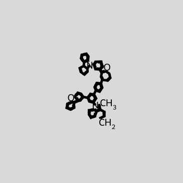 C=C/C=C\c1c(C)n(-c2cc(-c3ccc(C4=Cc5c(oc6ccc(N7c8ccccc8C8C=CC=CC87)cc56)CC=C4)cc3)cc(-c3ccc4oc5ccccc5c4c3)c2)c2ccccc12